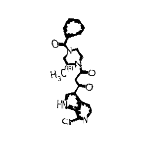 C[C@@H]1CN(C(=O)c2ccccc2)CCN1C(=O)CC(=O)c1c[nH]c2c(Cl)nccc12